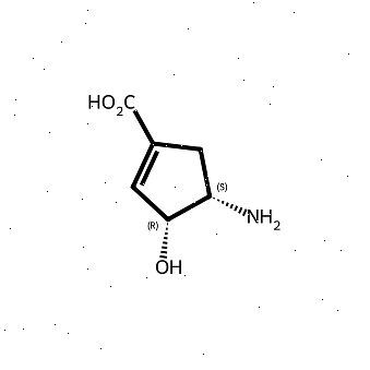 N[C@H]1CC(C(=O)O)=C[C@H]1O